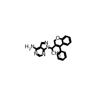 CC(C1=C(c2ccccc2)c2ccccc2OC1)n1ncc2c(N)ncnc21